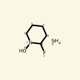 ON1CCCCC1F.[SiH4]